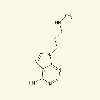 CNCCCn1cnc2c(N)ncnc21